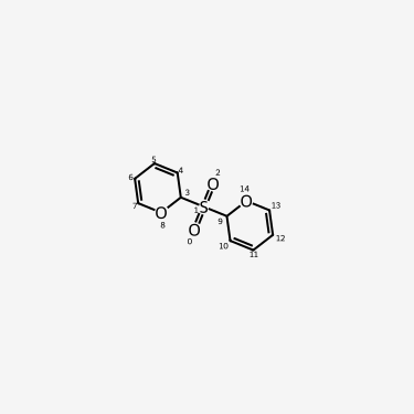 O=S(=O)(C1C=CC=CO1)C1C=CC=CO1